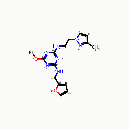 CCOc1nc(NCCn2ccc(C)n2)nc(NCc2ccco2)n1